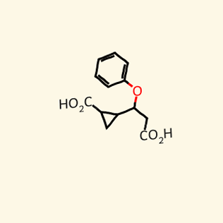 O=C(O)CC(Oc1ccccc1)C1CC1C(=O)O